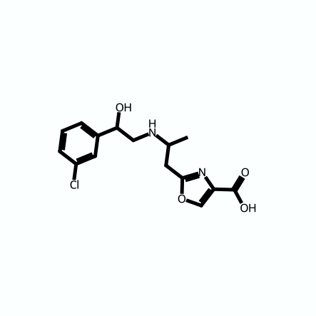 CC(Cc1nc(C(=O)O)co1)NCC(O)c1cccc(Cl)c1